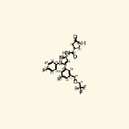 O=C1C[C@H](C(=O)Nc2cc(-c3cc(F)cc(COCC(F)(F)F)c3)n(-c3ccc(F)cc3)n2)CN1